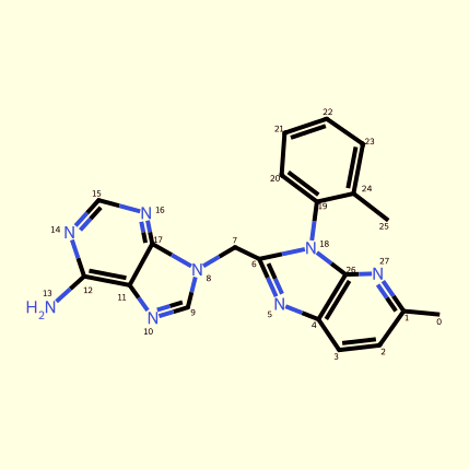 Cc1ccc2nc(Cn3cnc4c(N)ncnc43)n(-c3ccccc3C)c2n1